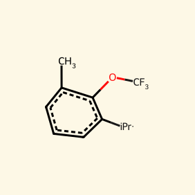 C[C](C)c1cccc(C)c1OC(F)(F)F